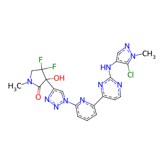 CN1CC(F)(F)C(O)(c2cn(-c3cccc(-c4ccnc(Nc5cnn(C)c5Cl)n4)n3)nn2)C1=O